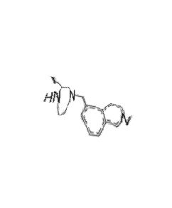 IC1CN(Cc2cccc3cnccc23)CCN1